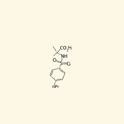 CCCc1ccc(S(=O)(=O)NC(C)(C)C(=O)O)cc1